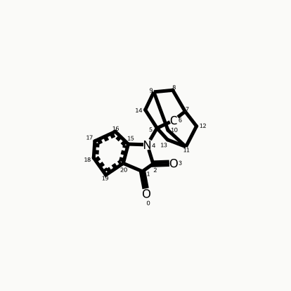 O=C1C(=O)N(C23CC4CC(CC(C4)C2)C3)c2ccccc21